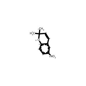 CC1(C)C=[C]c2cc([N+](=O)[O-])ccc2O1